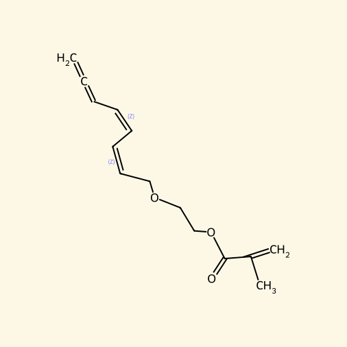 C=C=C/C=C\C=C/COCCOC(=O)C(=C)C